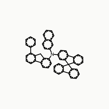 c1ccc(-c2cccc3c2Cc2c-3cccc2N(c2ccc3c(c2)C2(c4ccccc4-c4ccccc42)c2ccccc2-3)c2ccc3ccccc3c2)cc1